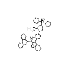 CC1C=C(P(=O)(c2ccccc2)c2ccccc2)C=CC1c1ccc2c(c1)nc(-c1cc3ccccc3c3ccccc13)c1oc3ccccc3c12